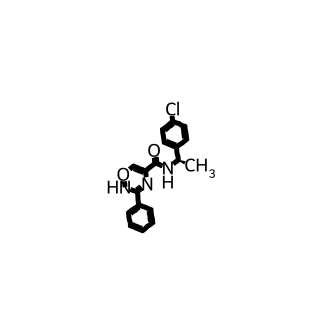 C[C@@H](NC(=O)C1=CONC(c2ccccc2)=N1)c1ccc(Cl)cc1